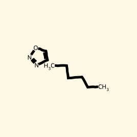 CCCCCC.c1conn1